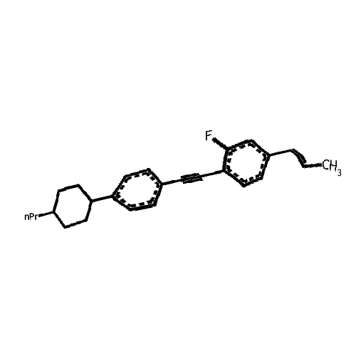 CC=Cc1ccc(C#Cc2ccc(C3CCC(CCC)CC3)cc2)c(F)c1